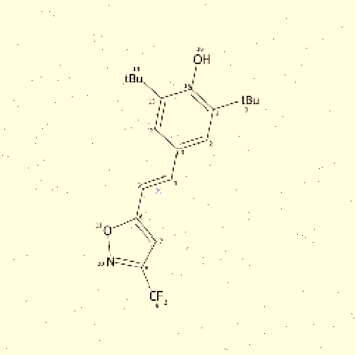 CC(C)(C)c1cc(/C=C/c2cc(C(F)(F)F)no2)cc(C(C)(C)C)c1O